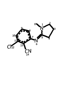 CN1CCCC1=Nc1cccc(Cl)c1C#N